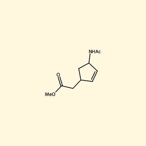 COC(=O)CC1C=CC(NC(C)=O)C1